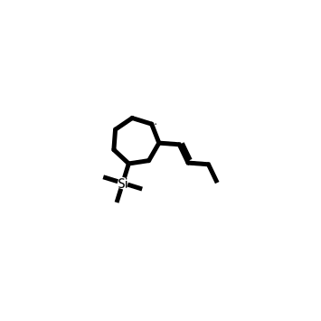 CC/C=C/C1[CH]CCCC([Si](C)(C)C)C1